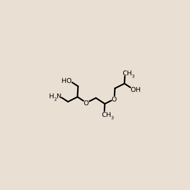 CC(O)COC(C)COC(CN)CO